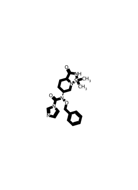 C[Si]1(C)NC(=O)C2CC[C@@H](N(OCc3ccccc3)C(=O)n3ccnc3)CN21